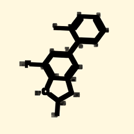 Cc1ccccc1-c1cc(F)c2c(c1)CC(C)O2